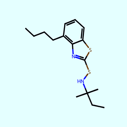 CCCCc1cccc2sc(SNC(C)(C)CC)nc12